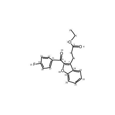 CCOC(=O)CCc1c(C(=O)c2ccc(F)cc2)oc2ccccc12